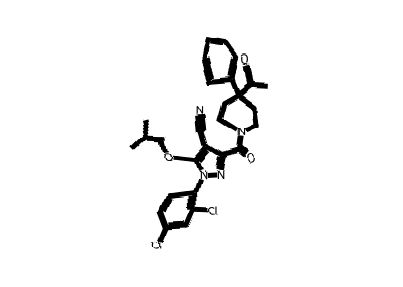 CC(=O)C1(c2ccccc2)CCN(C(=O)c2nn(-c3ccc(Cl)cc3Cl)c(OCC(C)C)c2C#N)CC1